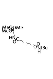 CO[Si](CCCNC(=O)OCCCCCCCCOC(=O)NC(C)(C)C)(OC)OC